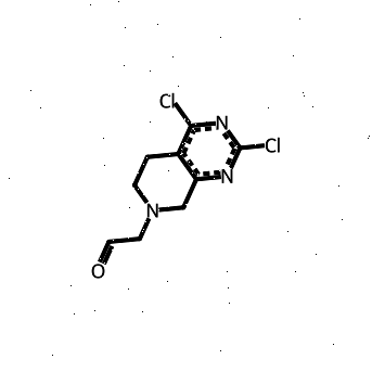 O=CCN1CCc2c(Cl)nc(Cl)nc2C1